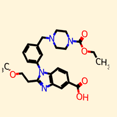 CCOC(=O)N1CCN(Cc2cccc(-n3c(CCOC)nc4cc(C(=O)O)ccc43)c2)CC1